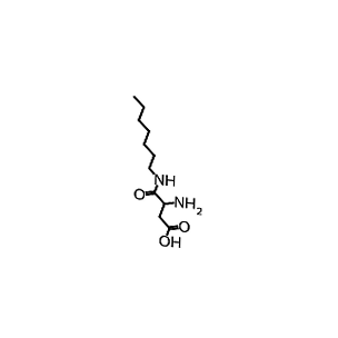 CCCCCCCNC(=O)C(N)CC(=O)O